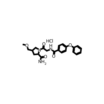 COCC1CC(C(N)=O)N(C(=O)CNC(=O)c2ccc(Oc3ccccc3)cc2)C1.Cl